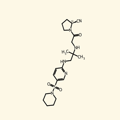 CC(C)(CNc1ccc(S(=O)(=O)N2CCCCC2)cn1)NCC(=O)N1CCC[C@H]1C#N